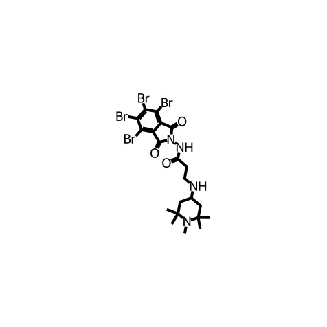 CN1C(C)(C)CC(NCCC(=O)NN2C(=O)c3c(Br)c(Br)c(Br)c(Br)c3C2=O)CC1(C)C